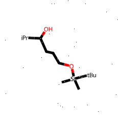 CC(C)C(O)CCCO[Si](C)(C)C(C)(C)C